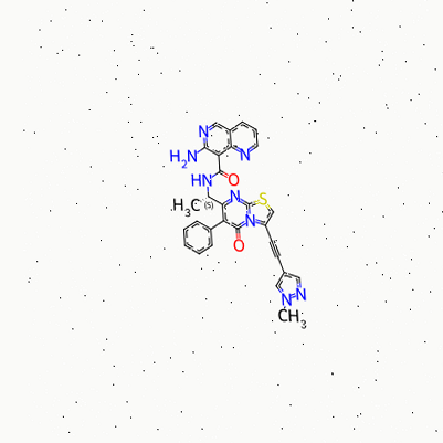 C[C@H](NC(=O)c1c(N)ncc2cccnc12)c1nc2scc(C#Cc3cnn(C)c3)n2c(=O)c1-c1ccccc1